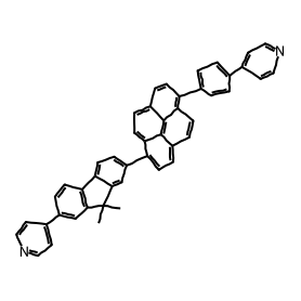 CC1(C)c2cc(-c3ccncc3)ccc2-c2ccc(-c3ccc4ccc5c(-c6ccc(-c7ccncc7)cc6)ccc6ccc3c4c65)cc21